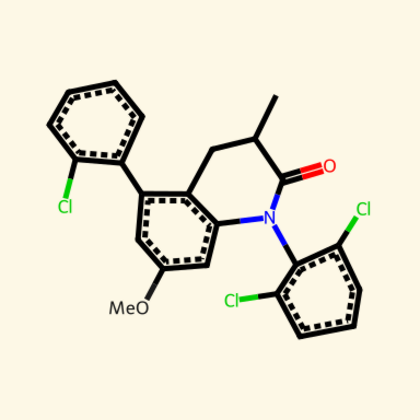 COc1cc(-c2ccccc2Cl)c2c(c1)N(c1c(Cl)cccc1Cl)C(=O)C(C)C2